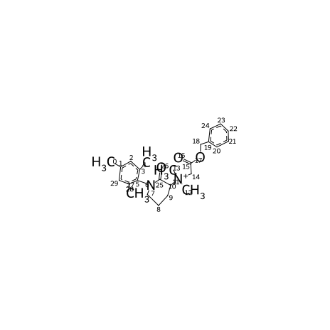 Cc1cc(C)c(N2CCCC([N+](C)(C)CC(=O)OCc3ccccc3)C2=O)c(C)c1